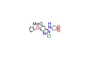 COc1cc2c(NC3CCS(=O)(=O)CC3)nc(Cl)nc2cc1OCc1ccccc1